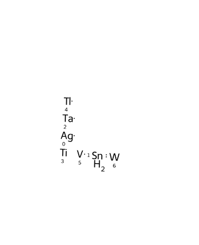 [Ag].[SnH2].[Ta].[Ti].[Tl].[V].[W]